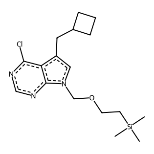 C[Si](C)(C)CCOCn1cc(CC2CCC2)c2c(Cl)ncnc21